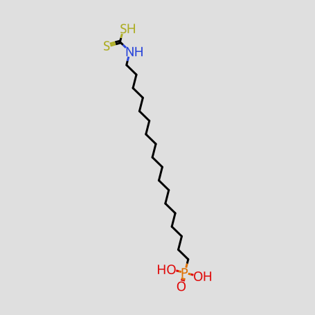 O=P(O)(O)CCCCCCCCCCCCCCCCCCNC(=S)S